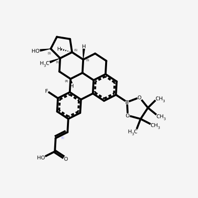 CC1(C)OB(c2cc3c4c(c2)-c2cc(/C=C/C(=O)O)cc(F)c2[C@@H]2C[C@]5(C)[C@@H](O)CC[C@H]5[C@H](CC3)C42)OC1(C)C